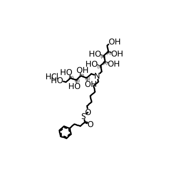 Cl.O=C(CCc1ccccc1)SOCCCCCCN(C[C@H](O)[C@@H](O)[C@H](O)[C@H](O)CO)C[C@H](O)[C@@H](O)[C@H](O)[C@H](O)CO